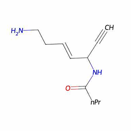 C#CC(C=CCCN)NC(=O)CCC